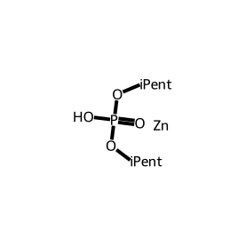 CCCC(C)OP(=O)(O)OC(C)CCC.[Zn]